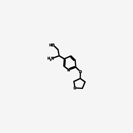 NC(CO)c1ccc(OC2CCOC2)nc1